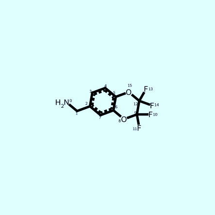 NCc1ccc2c(c1)OC(F)(F)C(F)(F)O2